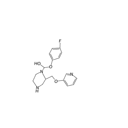 OC(Oc1ccc(F)cc1)N1CCNCC1COc1cccnc1